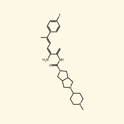 C=C(NC(=O)N1CC2CN(C3CCN(C)CC3)CC2C1)/C(N)=C\C=C(/C)c1ccc(F)cc1